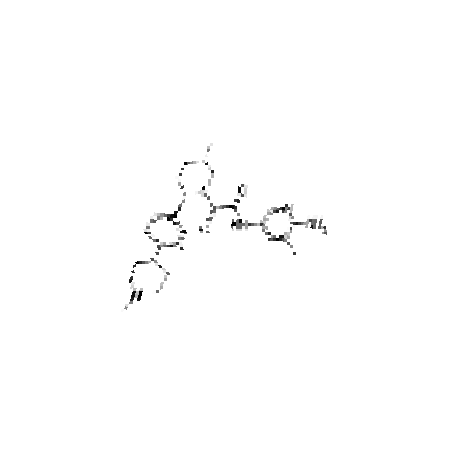 Cc1cc(NC(=O)C(=O)N2C[C@@H](C)CC[C@@H]2c2ccc(N3CCN(C)CC3)nc2)cnc1N